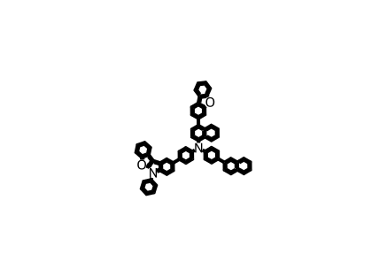 c1ccc(-n2c3ccc(-c4ccc(N(c5ccc(-c6ccc7ccccc7c6)cc5)c5ccc(-c6ccc7c(c6)oc6ccccc67)c6ccccc56)cc4)cc3c3c4ccccc4oc32)cc1